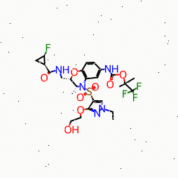 CCn1cc(S(=O)(=O)N2c3cc(NC(=O)OC(C)(C)C(F)(F)F)ccc3O[C@@H](CNC(=O)[C@H]3C[C@H]3F)[C@H]2C)c(OCCO)n1